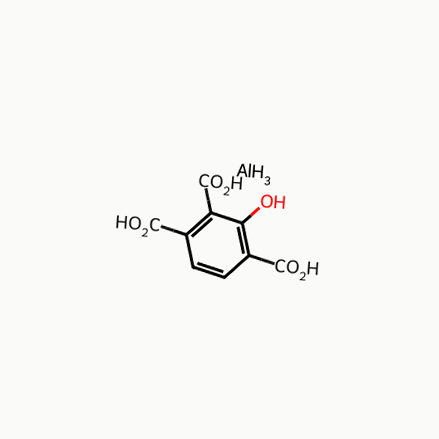 O=C(O)c1ccc(C(=O)O)c(C(=O)O)c1O.[AlH3]